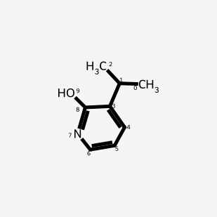 C[C](C)c1cccnc1O